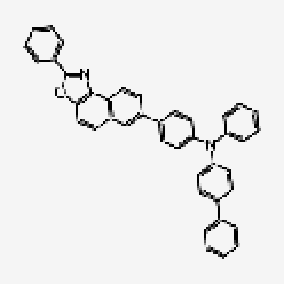 c1ccc(-c2ccc(N(c3ccccc3)c3ccc(-c4ccc5c(ccc6oc(-c7ccccc7)nc65)c4)cc3)cc2)cc1